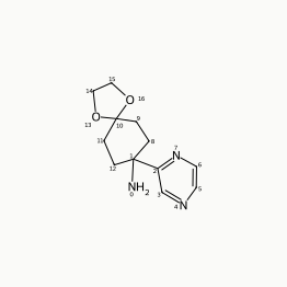 NC1(c2cnccn2)CCC2(CC1)OCCO2